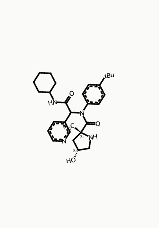 CC(C)(C)c1ccc(N(C(=O)[C@@]2(C)C[C@@H](O)CN2)C(C(=O)NC2CCCCC2)c2cccnc2)cc1